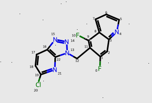 Fc1cc2ncccc2c(F)c1Cn1nnc2ccc(Cl)nc21